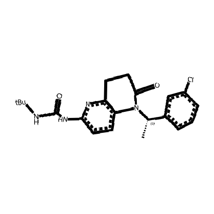 C[C@@H](c1cccc(Cl)c1)N1C(=O)CCc2nc(NC(=O)NC(C)(C)C)ccc21